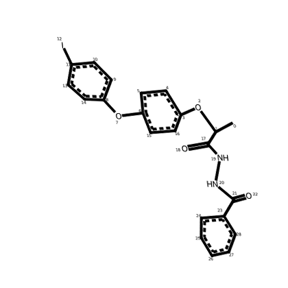 CC(Oc1ccc(Oc2ccc(I)cc2)cc1)C(=O)NNC(=O)c1ccccc1